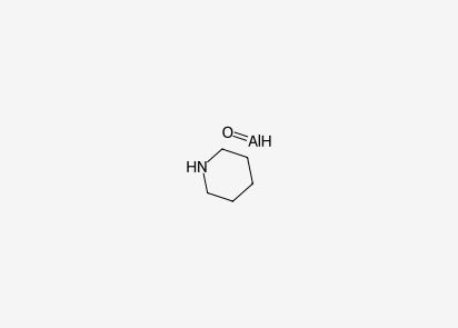 C1CCNCC1.[O]=[AlH]